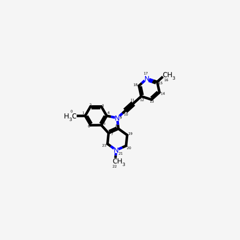 Cc1ccc2c(c1)c1c(n2C#Cc2ccc(C)nc2)CCN(C)C1